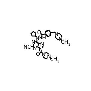 CN1CCN(Cc2ccc(C(=O)NN(c3nc(C#N)nc4c3ncn4C(=O)N3CCN(C)CC3)C3CCCC3)cc2)CC1